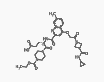 CCOC(=O)N1CCN(C(=O)[C@H](CCC(=O)O)NC(=O)c2cc(OCC(=O)N3CC(C(=O)NC4CC4)C3)c3ccc(C)cc3n2)CC1